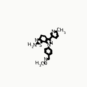 CON=Cc1ccc(-n2nc(-c3ccc(C)nc3)c3c2-c2sc(N)nc2CC3)cc1